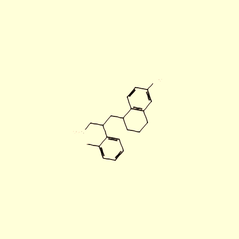 CNCC(CC1CCCc2cc(OC)ccc21)c1ccccc1I.Cl